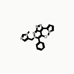 Cn1cncc1Cn1nc2nnc(-c3cccn3C)c-2c(Cl)c1-c1ccccc1